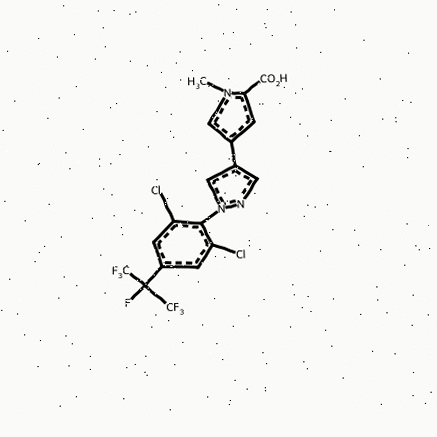 Cn1cc(-c2cnn(-c3c(Cl)cc(C(F)(C(F)(F)F)C(F)(F)F)cc3Cl)c2)cc1C(=O)O